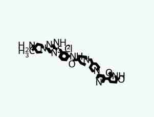 CC1(N)CCN(c2cnc(Sc3cccc(NC(=O)C4CCN(CC5CCN(c6cncc(C7CCC(=O)NC7=O)c6)CC5)CC4)c3Cl)c(N)n2)CC1